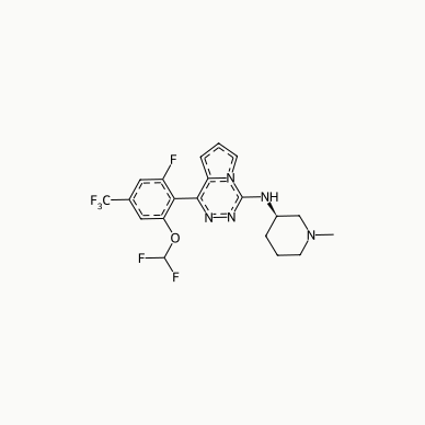 CN1CCC[C@@H](Nc2nnc(-c3c(F)cc(C(F)(F)F)cc3OC(F)F)c3cccn23)C1